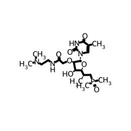 Cc1cn([C@@H]2O[C@H]([C@@H](C)CP(C)(C)=O)[C@@H](O)[C@H]2OCC(=O)NCCN(C)C)c(=O)[nH]c1=O